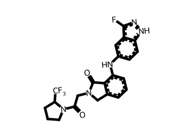 O=C1c2c(cccc2Nc2ccc3[nH]nc(F)c3c2)CN1CC(=O)N1CCCC1C(F)(F)F